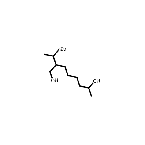 CCCCC(C)C(CO)CCCCC(C)O